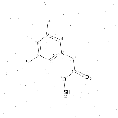 Cc1cc(C)cc(CC(=O)OS)c1